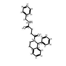 O=C(CCC(=O)N1CCc2ccccc2C1c1ccccc1)NCc1ccncc1